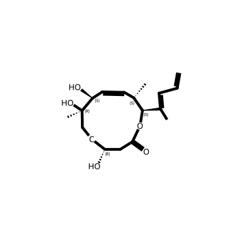 C=CC=C(C)[C@H]1OC(=O)C[C@H](O)CC[C@@](C)(O)[C@@H](O)C=C[C@@H]1C